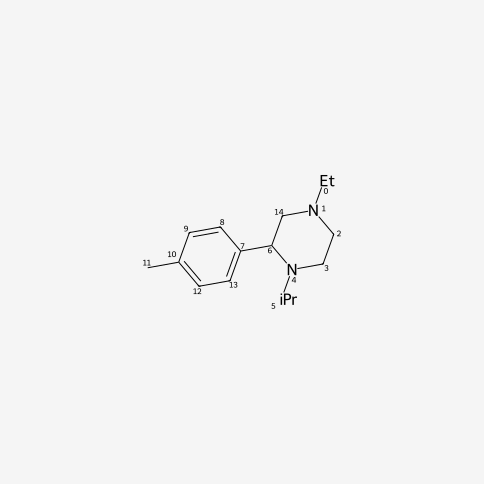 CCN1CCN(C(C)C)C(c2ccc(C)cc2)C1